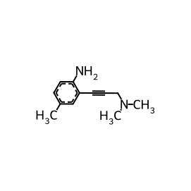 Cc1ccc(N)c(C#CCN(C)C)c1